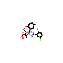 CC(=O)N1N=C(c2cc(F)ccc2F)OC12c1cc(F)ccc1OCC2CCO